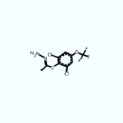 CC(=NN)Oc1c(Cl)cc(OC(F)(F)F)cc1Cl